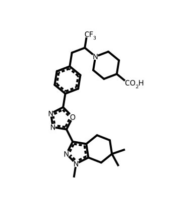 Cn1nc(-c2nnc(-c3ccc(CC(N4CCC(C(=O)O)CC4)C(F)(F)F)cc3)o2)c2c1CC(C)(C)CC2